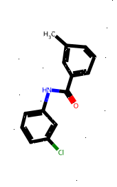 Cc1cccc(C(=O)Nc2cccc(Cl)c2)c1